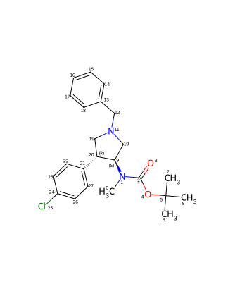 CN(C(=O)OC(C)(C)C)[C@@H]1CN(Cc2ccccc2)C[C@H]1c1ccc(Cl)cc1